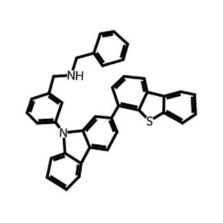 c1ccc(CNCc2cccc(-n3c4ccccc4c4ccc(-c5cccc6c5sc5ccccc56)cc43)c2)cc1